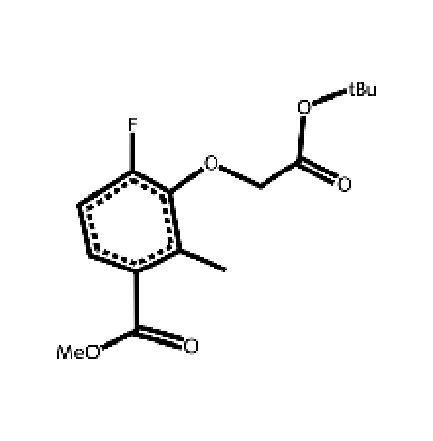 COC(=O)c1ccc(F)c(OCC(=O)OC(C)(C)C)c1C